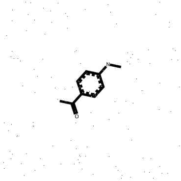 C[N]c1ccc(C(C)=O)cc1